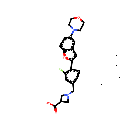 O=C(O)C1CN(Cc2ccc(-c3cc4cc(N5CCOCC5)ccc4o3)c(F)c2)C1